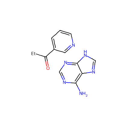 CCC(=O)c1cccnc1.Nc1ncnc2[nH]cnc12